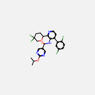 CC(C)Oc1ncc(C(=O)Nc2c(-c3cc(F)ccc3F)ccnc2C2CCC(F)(F)CO2)cn1